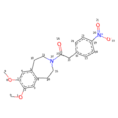 COc1cc2c(cc1OC)CCN(C(=O)Cc1ccc([N+](=O)[O-])cc1)CC2